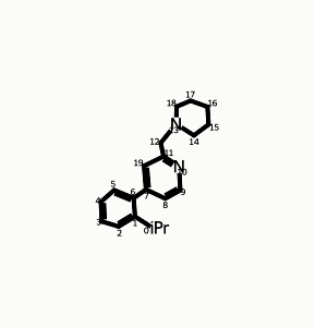 CC(C)c1ccccc1-c1ccnc(CN2CCCCC2)c1